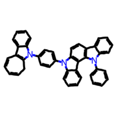 C1=CCc2c(c3ccccc3n2-c2ccc(-n3c4ccccc4c4c3ccc3c5ccccc5n(-c5ccccc5)c34)cc2)C=C1